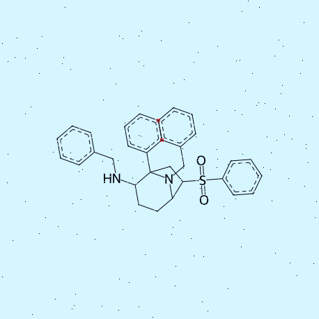 O=S(=O)(c1ccccc1)C1CC2(c3ccccc3)C(NCc3ccccc3)CCC1N2Cc1ccccc1